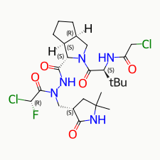 CC1(C)C[C@@H](CN(NC(=O)[C@@H]2[C@H]3CCC[C@H]3CN2C(=O)[C@@H](NC(=O)CCl)C(C)(C)C)C(=O)[C@H](F)Cl)C(=O)N1